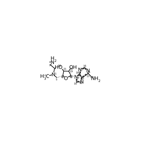 CN(CCN)C[C@H]1O[C@@H](n2cnc3c(N)ncnc32)C(O)C1O